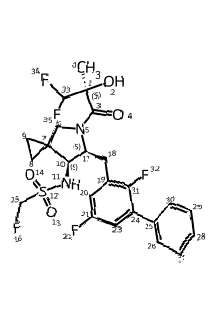 C[C@](O)(C(=O)N1CC2(CC2)[C@H](NS(=O)(=O)CF)[C@@H]1Cc1cc(F)cc(-c2ccccc2)c1F)C(F)F